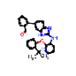 CC(C)(C)c1ccccc1Oc1ncccc1Nc1nc2ccc(-c3ccccc3C=O)cc2[nH]1